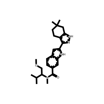 COCC(C(C)C)N(C)C(=O)c1ccc2cc(-c3n[nH]c4c3CCC(C)(C)C4)[nH]c2c1